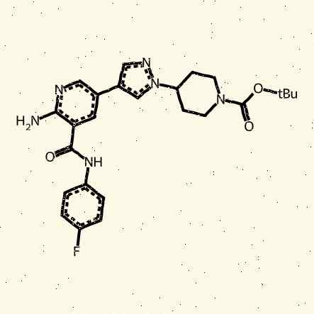 CC(C)(C)OC(=O)N1CCC(n2cc(-c3cnc(N)c(C(=O)Nc4ccc(F)cc4)c3)cn2)CC1